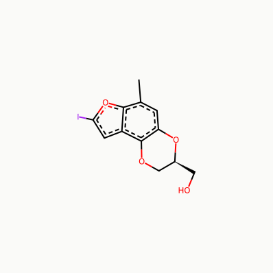 Cc1cc2c(c3cc(I)oc13)OC[C@H](CO)O2